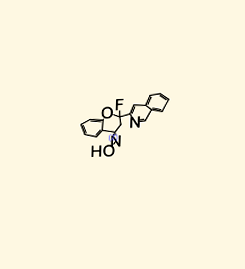 O/N=C1/CC(F)(c2cc3ccccc3cn2)Oc2ccccc21